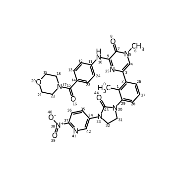 Cc1c(-c2cn(C)c(=O)c(Nc3ccc(C(=O)N4CCOCC4)cc3)n2)cccc1N1CCN(c2ccc([N+](=O)[O-])nc2)C1=O